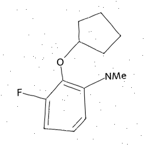 CNc1cccc(F)c1OC1CCCC1